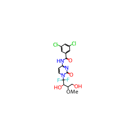 COC(CO)[C@@H](O)C(F)(F)n1ccc(NC(=O)c2cc(Cl)cc(Cl)c2)nc1=O